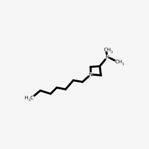 CCCCCCCN1CC(N(C)C)C1